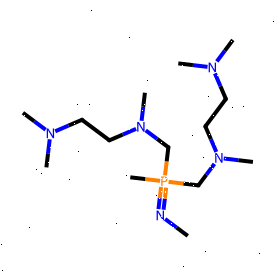 CN=P(C)(CN(C)CCN(C)C)CN(C)CCN(C)C